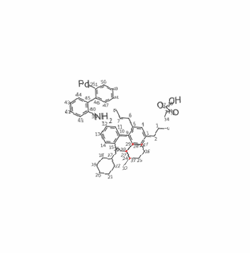 CCCc1cc(CCC)c(-c2ccccc2P(C2CCCCC2)C2CCCCC2)c(CCC)c1.CS(=O)(=O)O.Nc1ccccc1-c1cccc[c]1[Pd]